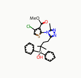 COC(=O)c1c(Cl)csc1-n1c(C)nnc1CCC(C)(C)[Si](O)(c1ccccc1)c1ccccc1